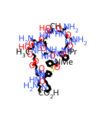 CNC(=O)c1ccccc1Sc1ccc2c(/C=C/c3ccccn3)nn(C(=O)N(CCNC(=O)[C@@H](N)CCC(=O)O)CCC(=O)OCCC(=O)N[C@H](C(=O)N[C@@H](CCN)C(=O)N[C@H]3CCNC(=O)[C@H]([C@@H](C)O)NC(=O)[C@H](CCN)NC(=O)[C@H](CCN)NC(=O)[C@H](CC(C)C)NC(=O)[C@@H](Cc4ccccc4)NC(=O)[C@H](CCN)NC3=O)[C@@H](C)O)c2c1